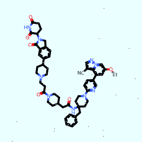 CCOc1cc(-c2ccc(N3CCC(Cc4ccccc4)(NC(=O)CC4CCN(C(=O)CCN5CCC(c6ccc7c(c6)C(=O)N(C6CCC(=O)NC6=O)C7)CC5)CC4)CC3)nc2)c2c(C#N)cnn2c1